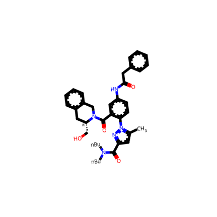 CCCCN(CCCC)C(=O)c1cc(C)n(-c2ccc(NC(=O)Cc3ccccc3)cc2C(=O)N2Cc3ccccc3C[C@H]2CO)n1